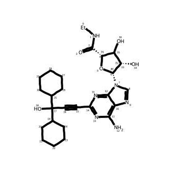 CCNC(=O)[C@H]1O[C@@H](n2cnc3c(N)nc(C#CC(O)(C4CCCCC4)C4CCCCC4)nc32)[C@@H](O)C1O